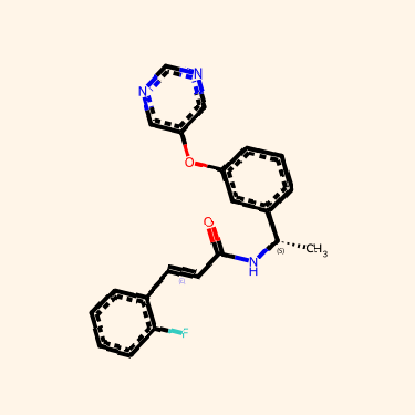 C[C@H](NC(=O)/C=C/c1ccccc1F)c1cccc(Oc2cncnc2)c1